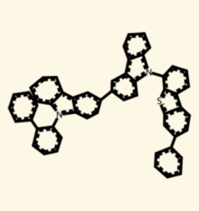 c1ccc(-c2ccc3c(c2)sc2c(-n4c5ccccc5c5cc(-c6ccc7c(c6)c6ccccc6n7-c6ccccc6-c6ccccc6)ccc54)cccc23)cc1